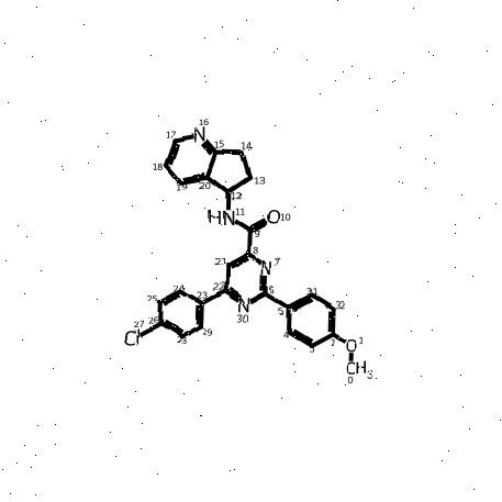 COc1ccc(-c2nc(C(=O)NC3CCc4ncccc43)cc(-c3ccc(Cl)cc3)n2)cc1